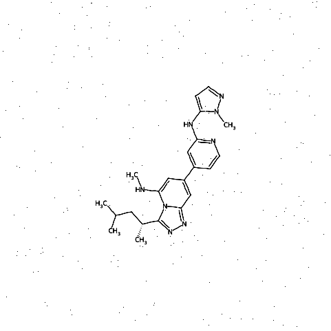 CNc1cc(-c2ccnc(Nc3ccnn3C)c2)cc2nnc([C@H](C)CC(C)C)n12